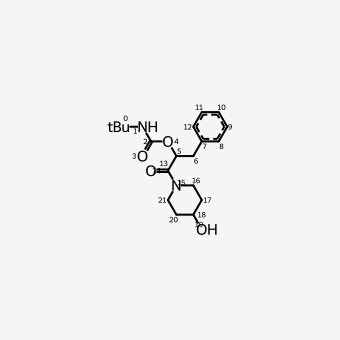 CC(C)(C)NC(=O)OC(Cc1ccccc1)C(=O)N1CCC(O)CC1